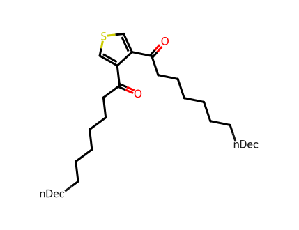 CCCCCCCCCCCCCCCCC(=O)c1cscc1C(=O)CCCCCCCCCCCCCCCC